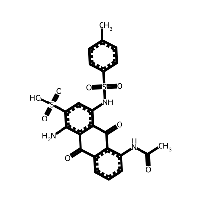 CC(=O)Nc1cccc2c1C(=O)c1c(NS(=O)(=O)c3ccc(C)cc3)cc(S(=O)(=O)O)c(N)c1C2=O